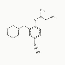 CCN(C)Oc1ccc(Cl)cc1CN1CCCCC1.Cl.Cl